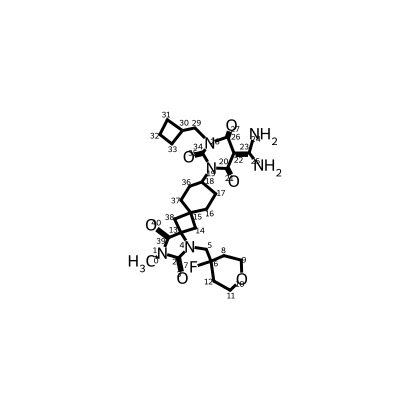 CN1C(=O)N(CC2(F)CCOCC2)C2(CC3(CCC(N4C(=O)C(=C(N)N)C(=O)N(CC5CCC5)C4=O)CC3)C2)C1=O